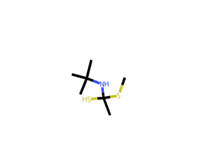 CSC(C)(S)NC(C)(C)C